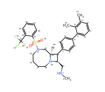 CNC[C@@H]1C(c2ccc(-c3cccc(C)c3C)cc2)[C@@H]2CN(S(=O)(=O)c3ccccc3C(F)(F)F)CCCCN12